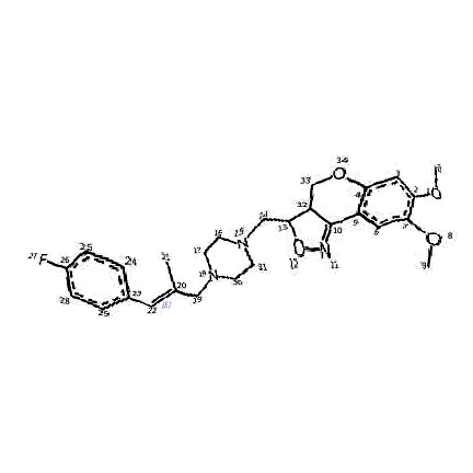 COc1cc2c(cc1OC)C1=NOC(CN3CCN(C/C(C)=C/c4ccc(F)cc4)CC3)C1CO2